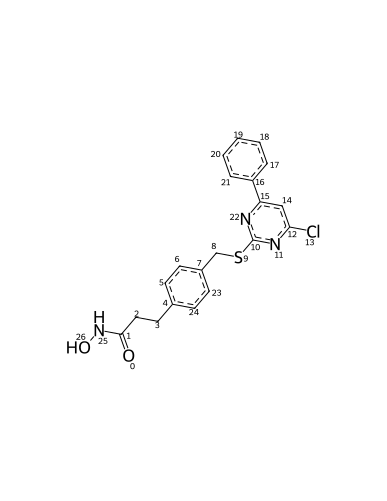 O=C(CCc1ccc(CSc2nc(Cl)cc(-c3ccccc3)n2)cc1)NO